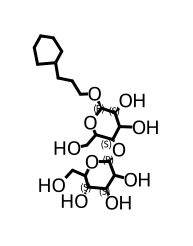 OCC1O[C@@H](OCCCC2CCCCC2)[C@@H](O)C(O)[C@@H]1O[C@H]1OC(CO)[C@@H](O)[C@H](O)C1O